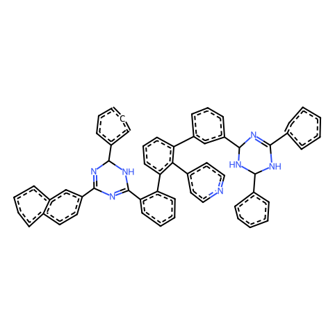 c1ccc(C2=NC(c3cccc(-c4cccc(-c5ccccc5C5=NC(c6ccc7ccccc7c6)=NC(c6ccccc6)N5)c4-c4ccncc4)c3)NC(c3ccccc3)N2)cc1